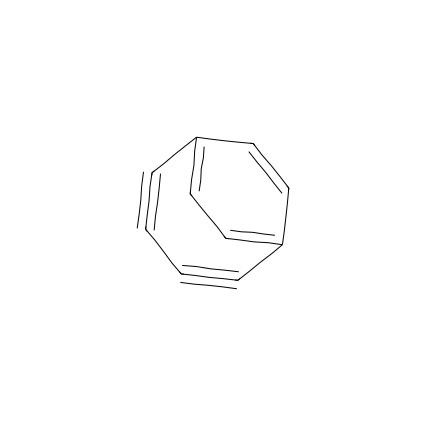 C1#Cc2ccc(cc2)C#C1